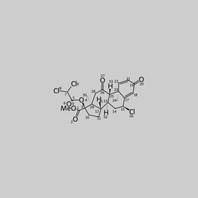 COC(=O)[C@@]1(OC(=O)C(Cl)Cl)CC[C@H]2[C@@H]3C[C@H](Cl)C4=CC(=O)C=C[C@]4(C)[C@H]3C(=O)C[C@@]21C